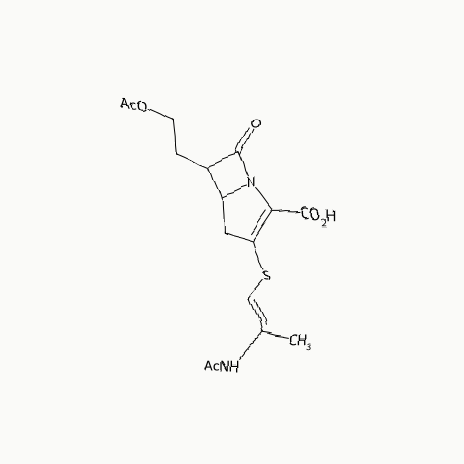 CC(=O)NC(C)=CSC1=C(C(=O)O)N2C(=O)C(CCOC(C)=O)C2C1